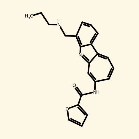 CCCNCc1cccc2c3cccc(NC(=O)c4ccco4)cc-3nc12